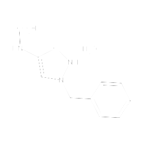 O.O=C(O)NC1=CN(Cc2ccccc2)NO1